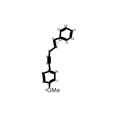 COc1ccc(C#CC/C=C/c2ccccc2)cc1